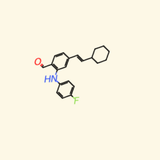 O=Cc1ccc(/C=C/C2CCCCC2)cc1Nc1ccc(F)cc1